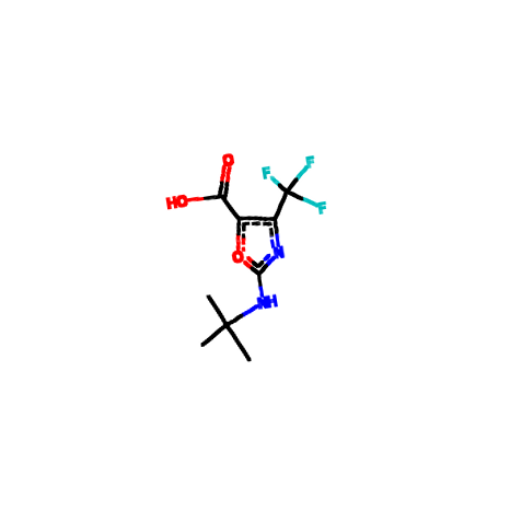 CC(C)(C)Nc1nc(C(F)(F)F)c(C(=O)O)o1